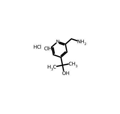 CC(C)(O)c1ccnc(CN)c1.Cl.Cl